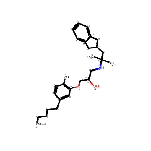 CCOC(=O)CCCCc1ccc(C#N)c(OC[C@H](O)CNC(C)(C)CC2Cc3ccccc3C2)c1